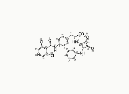 O=C(Nc1ccc(C[C@H](Nc2c(Nc3ccccc3)c(=O)c2=O)C(=O)O)cc1)c1c(Cl)cncc1Cl